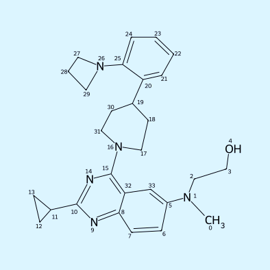 CN(CCO)c1ccc2nc(C3CC3)nc(N3CCC(c4ccccc4N4CCC4)CC3)c2c1